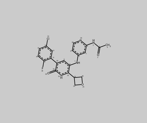 CC(=O)Nc1cc(Nc2cc(-c3cc(Cl)ccc3F)c(=O)[nH]c2C2COC2)ccn1